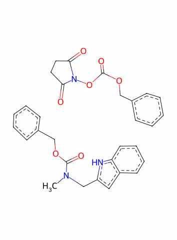 CN(Cc1cc2ccccc2[nH]1)C(=O)OCc1ccccc1.O=C(OCc1ccccc1)ON1C(=O)CCC1=O